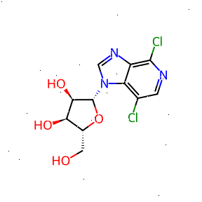 OC[C@H]1O[C@@H](n2cnc3c(Cl)ncc(Cl)c32)[C@H](O)[C@@H]1O